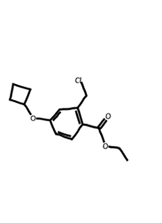 CCOC(=O)c1ccc(OC2CCC2)cc1CCl